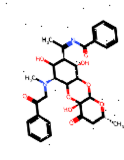 C/C(=N/C(=O)c1ccccc1)[C@@H]1C(O)[C@H](N(C)CC(=O)c2ccccc2)C2O[C@@]3(O)C(=O)C[C@@H](C)OC3OC2[C@H]1O